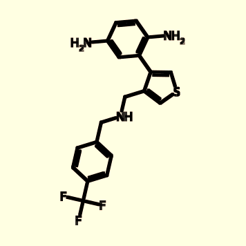 Nc1ccc(N)c(-c2cscc2CNCc2ccc(C(F)(F)F)cc2)c1